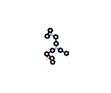 c1ccc(-c2ccc(N(c3ccc(-c4cccc(-n5c6ccccc6c6ccccc65)c4)cc3)c3ccc(-c4cccc5oc6c7ccccc7ccc6c45)cc3)cc2)cc1